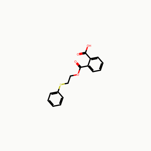 O=C(O)c1ccccc1C(=O)OCCSc1ccccc1